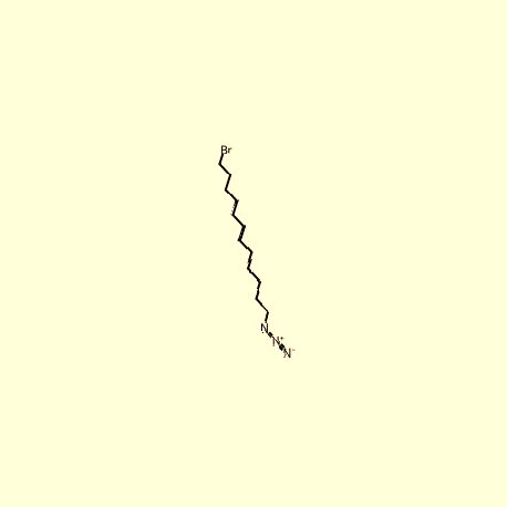 [N-]=[N+]=NCCCCCCCCCCCCBr